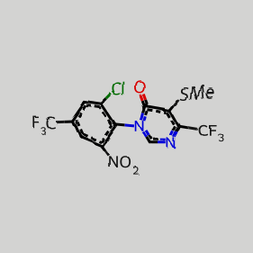 CSc1c(C(F)(F)F)ncn(-c2c(Cl)cc(C(F)(F)F)cc2[N+](=O)[O-])c1=O